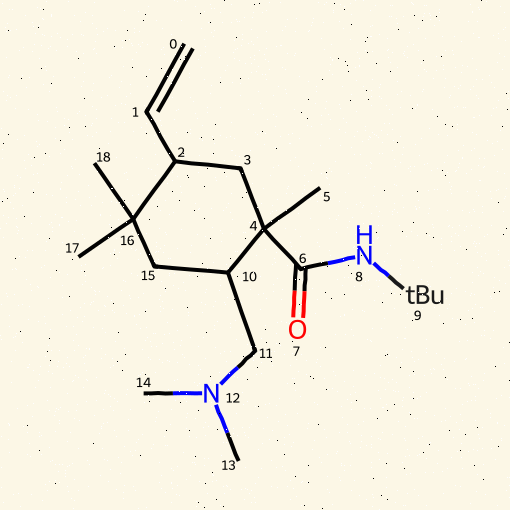 C=CC1CC(C)(C(=O)NC(C)(C)C)C(CN(C)C)CC1(C)C